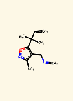 C=CC(C)(C)c1onc(C)c1CN=C